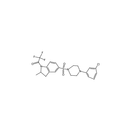 CC1Cc2cc(S(=O)(=O)N3CCN(c4cccc(Cl)c4)CC3)ccc2N1C(=O)C(F)(F)F